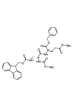 CC(C)(C)OC(=O)CC[C@@H](NC(=O)[C@@H](CNC(=O)OCC1c2ccccc2-c2ccccc21)NC(=O)OC(C)(C)C)C(=O)OCc1ccccc1